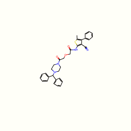 Cc1sc(NC(=O)COCC(=O)N2CCN(C(c3ccccc3)c3ccccc3)CC2)c(C#N)c1-c1ccccc1